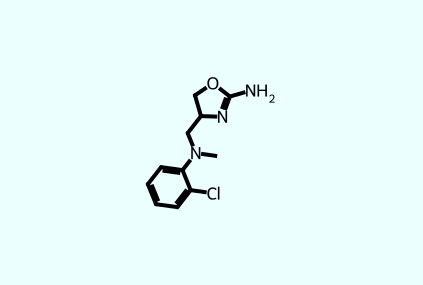 CN(CC1COC(N)=N1)c1ccccc1Cl